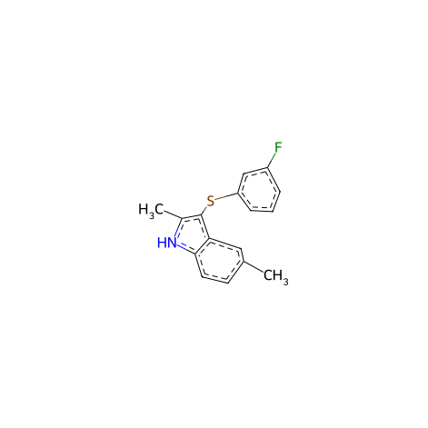 Cc1ccc2[nH]c(C)c(Sc3cccc(F)c3)c2c1